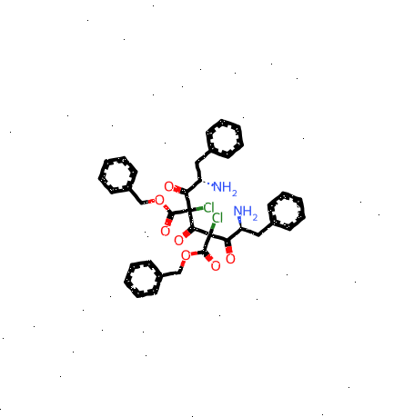 N[C@@H](Cc1ccccc1)C(=O)C(Cl)(C(=O)OCc1ccccc1)C(=O)C(Cl)(C(=O)OCc1ccccc1)C(=O)[C@@H](N)Cc1ccccc1